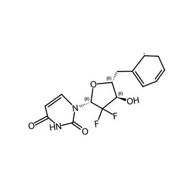 O=c1ccn([C@@H]2O[C@H](CC3=CC=CC[CH]3)[C@@H](O)C2(F)F)c(=O)[nH]1